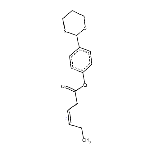 CC/C=C\CC(=O)Oc1ccc(C2SCCCS2)cc1